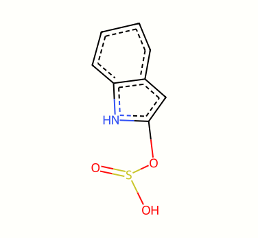 O=S(O)Oc1cc2ccccc2[nH]1